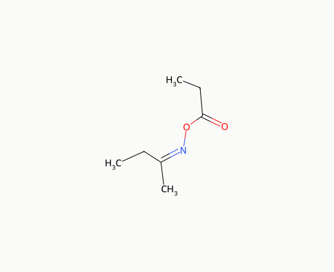 CCC(=O)ON=C(C)CC